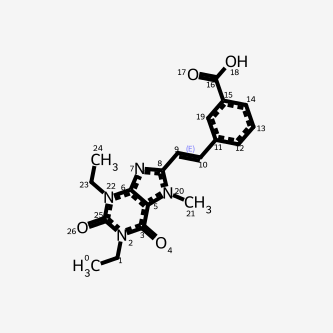 CCn1c(=O)c2c(nc(/C=C/c3cccc(C(=O)O)c3)n2C)n(CC)c1=O